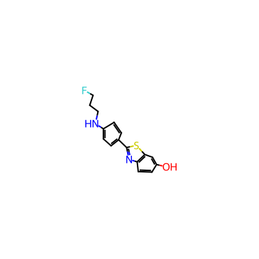 Oc1ccc2nc(-c3ccc(NCCCF)cc3)sc2c1